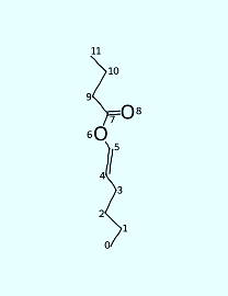 CCCC/C=C/OC(=O)CCC